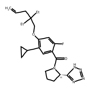 C=CCC(CC)(CC)COc1cc(F)c(C(=O)N2CCC[C@H]2c2nnn[nH]2)cc1C1CC1